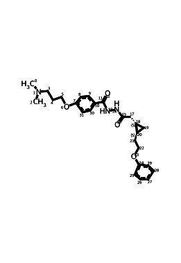 CN(C)CCCOc1ccc(C(=O)NNC(=O)C[C@@H]2C[C@H]2CCOc2ccccc2)cc1